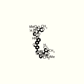 COC(=O)N[C@H](C(=O)N1[C@@H](C)CC[C@H]1c1ncc(-c2ccc3c(c2)COc2cc4c(ccc5nc([C@@H]6CC[C@H](C)N6C(=O)[C@@H](NC(=O)OC)C6CCO[C@H](C)C6)[nH]c54)cc2-3)[nH]1)C1C[C@@H](C)O[C@H](C)C1